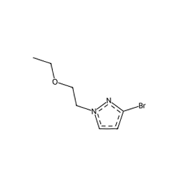 CCOCCn1ccc(Br)n1